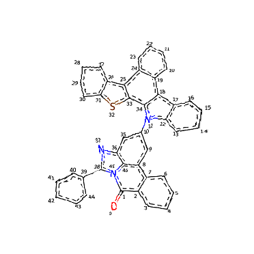 O=c1c2ccccc2c2cc(-n3c4ccccc4c4c5ccccc5c5c6ccccc6sc5c43)cc3nc(-c4ccccc4)n1c32